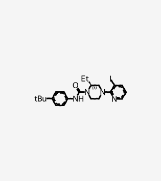 CC[C@H]1CN(c2ncccc2I)CCN1C(=O)Nc1ccc(C(C)(C)C)cc1